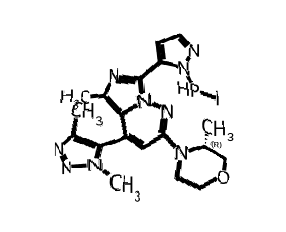 Cc1nnn(C)c1-c1cc(N2CCOC[C@H]2C)nn2c(-c3ccnn3PI)nc(C)c12